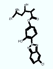 CCCC(CC(CC)C(C)(C)C)C(C)C(=O)Oc1ccc(-n2nc3ccc(Cl)cc3n2)c(O)c1